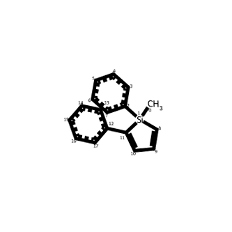 C[Si]1(c2ccccc2)C=CC=C1c1ccccc1